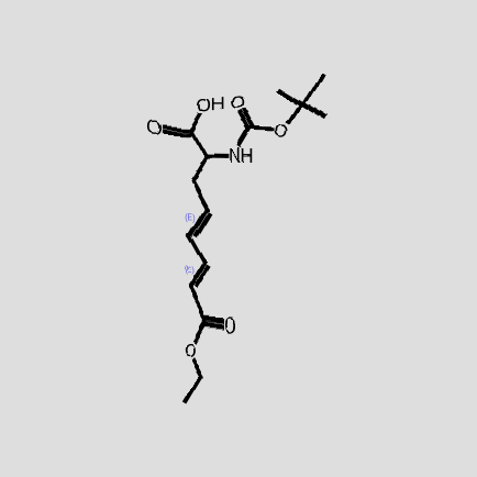 CCOC(=O)/C=C/C=C/CC(NC(=O)OC(C)(C)C)C(=O)O